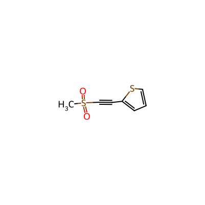 CS(=O)(=O)C#Cc1cccs1